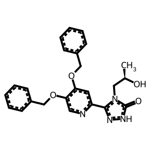 C[C@@H](O)Cn1c(-c2cc(OCc3ccccc3)c(OCc3ccccc3)cn2)n[nH]c1=O